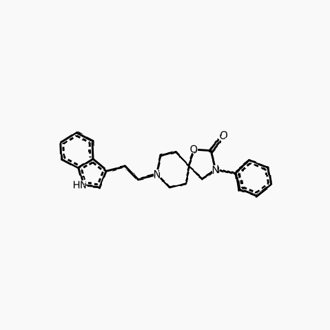 O=C1OC2(CCN(CCc3c[nH]c4ccccc34)CC2)CN1c1ccccc1